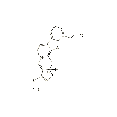 COC1=CS[C@H]2CC3=C4N=C5C(CCCl)=CCC=C5C4=CCN3C=C12